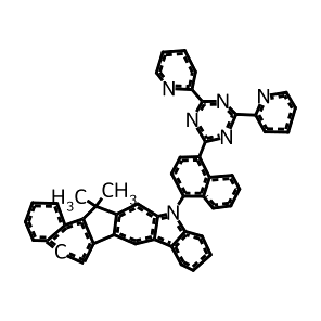 CC1(C)c2cc3c(cc2-c2ccc4ccccc4c21)c1ccccc1n3-c1ccc(-c2nc(-c3ccccn3)nc(-c3ccccn3)n2)c2ccccc12